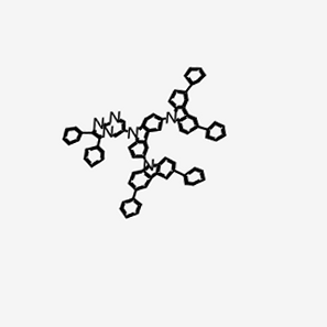 c1ccc(-c2ccc3c(c2)c2cc(-c4ccccc4)ccc2n3-c2ccc3c(c2)c2cc(-n4c5ccc(-c6ccccc6)cc5c5cc(-c6ccccc6)ccc54)ccc2n3-c2cnc3nc(-c4ccccc4)c(-c4ccccc4)n3c2)cc1